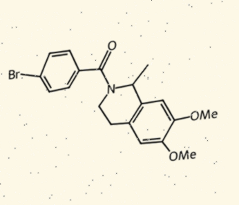 COc1cc2c(cc1OC)C(C)N(C(=O)c1ccc(Br)cc1)CC2